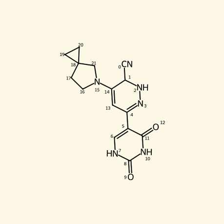 N#CC1NN=C(c2c[nH]c(=O)[nH]c2=O)C=C1N1CCC2(CC2)C1